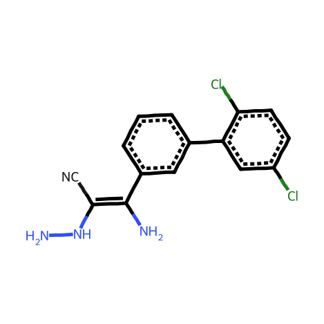 N#C/C(NN)=C(/N)c1cccc(-c2cc(Cl)ccc2Cl)c1